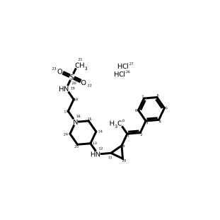 C/C(=C\c1ccccc1)C1CC1NC1CCN(CCNS(C)(=O)=O)CC1.Cl.Cl